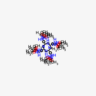 CC(C)(C)OC(=O)/N=C(\NC(=O)OC(C)(C)C)Nc1ccc(-c2c3nc(c(-c4ccc(N/C(=N/C(=O)OC(C)(C)C)NC(=O)OC(C)(C)C)cc4)c4ccc([nH]4)c(-c4ccc(N/C(=N/C(=O)OC(C)(C)C)NC(=O)OC(C)(C)C)cc4)c4nc(c(-c5ccc(N/C(=N/C(=O)OC(C)(C)C)NC(=O)OC(C)(C)C)cc5)c5ccc2[nH]5)C=C4)C=C3)cc1